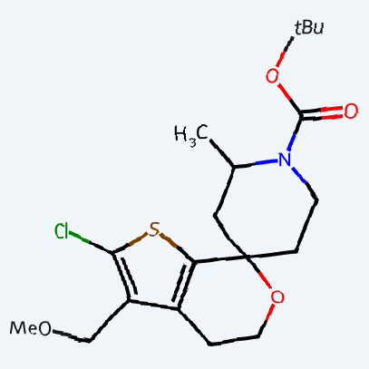 COCc1c(Cl)sc2c1CCOC21CCN(C(=O)OC(C)(C)C)C(C)C1